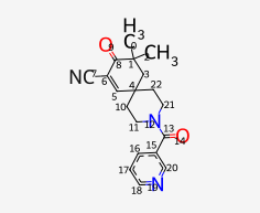 CC1(C)CC2(C=C(C#N)C1=O)CCN(C(=O)c1cccnc1)CC2